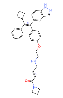 O=C(/C=C/CNCCOc1ccc(/C(=C(\c2ccccc2)C2CCC2)c2ccc3[nH]ncc3c2)cc1)N1CCC1